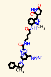 Cn1nc(C2CCC(=O)NC2=O)c2cccc(NC(=O)CCCCNC(=O)c3nc4c(CN=[N+]=[N-])cc(N5CC[C@](C)(c6ccccc6)C5)cn4n3)c21